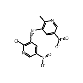 Cc1ncc([N+](=O)[O-])cc1Br.O=[N+]([O-])c1cnc(Cl)c(Br)c1